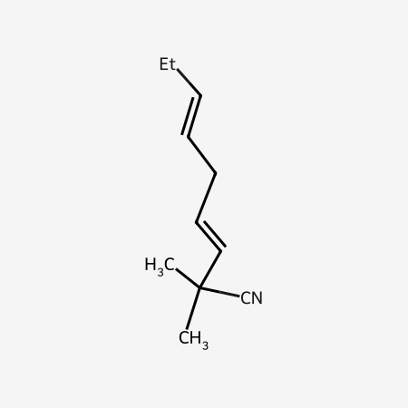 CCC=CCC=CC(C)(C)C#N